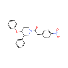 O=C(Cc1ccc([N+](=O)[O-])cc1)N1CCC(Oc2ccccc2)C(c2ccccc2)C1